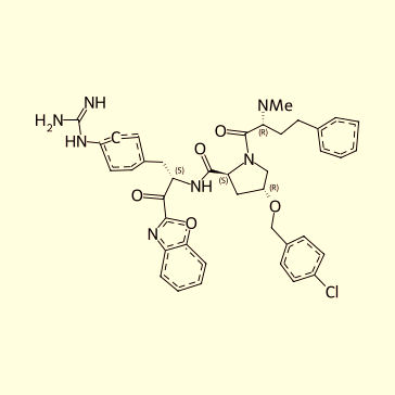 CN[C@H](CCc1ccccc1)C(=O)N1C[C@H](OCc2ccc(Cl)cc2)C[C@H]1C(=O)N[C@@H](Cc1ccc(NC(=N)N)cc1)C(=O)c1nc2ccccc2o1